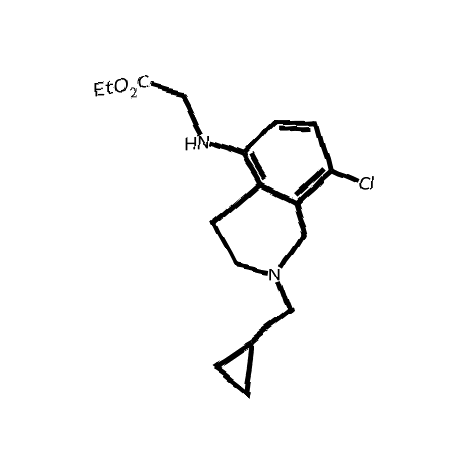 CCOC(=O)CNc1ccc(Cl)c2c1CCN(CC1CC1)C2